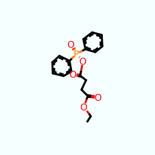 CCOC(=O)CCC(=O)OP(=O)(c1ccccc1)c1ccccc1